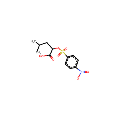 CC(C)CC(OS(=O)(=O)c1ccc([N+](=O)[O-])cc1)C(=O)O